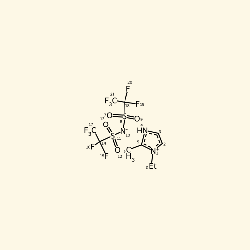 CC[n+]1cc[nH]c1C.O=S(=O)([N-]S(=O)(=O)C(F)(F)C(F)(F)F)C(F)(F)C(F)(F)F